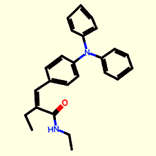 CCNC(=O)/C(=C\c1ccc(N(c2ccccc2)c2ccccc2)cc1)CC